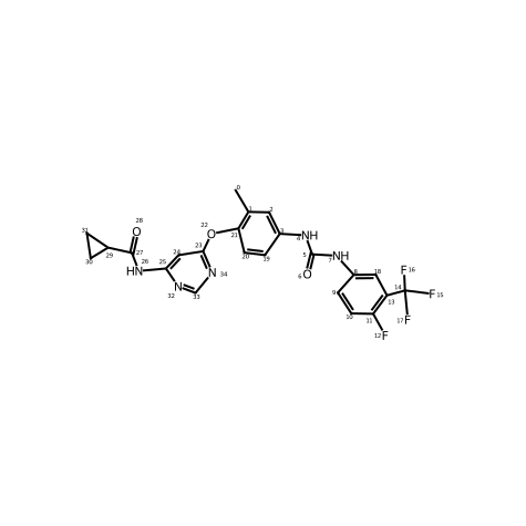 Cc1cc(NC(=O)Nc2ccc(F)c(C(F)(F)F)c2)ccc1Oc1cc(NC(=O)C2CC2)ncn1